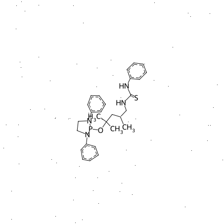 CC(CNC(=S)Nc1ccccc1)CC(C)(C)OP1N(c2ccccc2)CCN1c1ccccc1